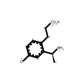 C[C@H](N)c1cc(Cl)ccc1CCC(=O)O